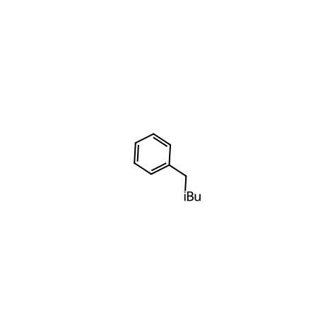 C[C]C(C)Cc1ccccc1